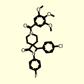 COc1cc(C(=O)N2CCC3(CC2)C(=O)N(c2ccc(F)cc2)C3c2ccc(Cl)cc2)cc(OC)c1OC